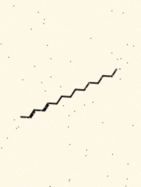 [CH2]CCCCCCCCCC=CC=CC